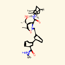 CC(C)NC(=O)c1cccc(-c2cccc(CN3O[C@@H](C)[C@@H]([C@H](C)O)[C@H]3C(=O)N[C@H]3C[C@H]4C[C@@H]([C@@H]3C)C4(C)C)c2)c1